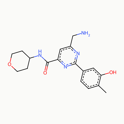 Cc1ccc(-c2nc(CN)cc(C(=O)NC3CCOCC3)n2)cc1O